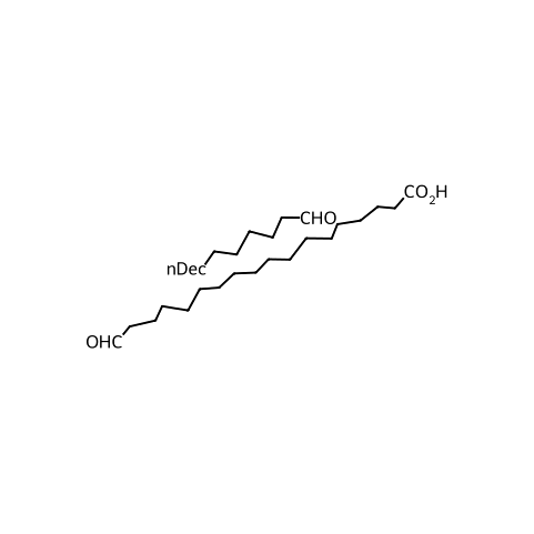 CCCCCCCCCCCCCCCC=O.O=CCCCCCCCCCCCCCCCCC(=O)O